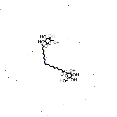 CC(CCCCCC/C=C\CCCCCCCC(=O)O[C@@H]1OC(CO)[C@@H](O)C(O)[C@@H]1O)O[C@@H]1OC(CO)[C@@H](O)C(O)[C@@H]1O